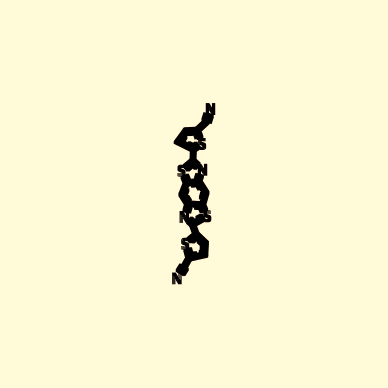 N#Cc1ccc(-c2nc3cc4sc(-c5ccc(C#N)s5)nc4cc3s2)s1